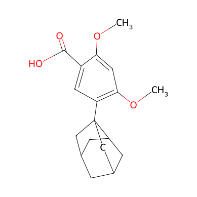 COc1cc(OC)c(C23CC4CC(CC2C4)C3)cc1C(=O)O